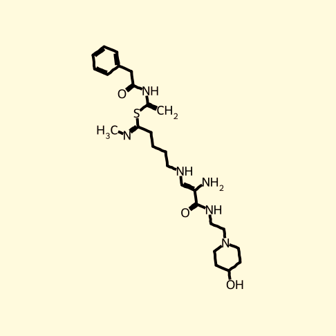 C=C(NC(=O)Cc1ccccc1)S/C(CCCCN/C=C(\N)C(=O)NCCN1CCC(O)CC1)=N\C